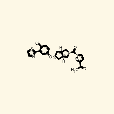 CC(=O)c1ccn(C(=O)N2C[C@H]3C[C@H](Oc4ccc(Cl)c(-c5nccs5)c4)C[C@H]3C2)n1